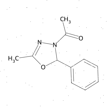 CC(=O)N1N=C(C)OC1c1ccccc1